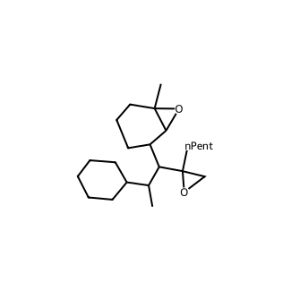 CCCCCC1(C(C(C)C2CCCCC2)C2CCCC3(C)OC23)CO1